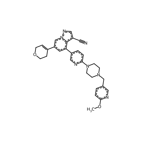 COc1ccc(CN2CCN(c3ccc(-c4cc(C5=CCOCC5)cn5ncc(C#N)c45)cn3)CC2)cn1